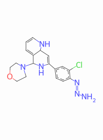 NN=Nc1ccc(C2=CC3NC=CC=C3C(N3CCOCC3)N2)cc1Cl